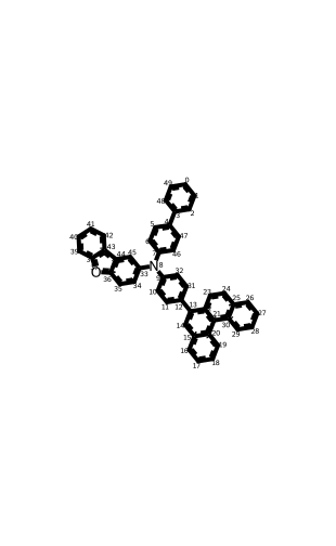 c1ccc(-c2ccc(N(c3ccc(-c4cc5ccccc5c5c4ccc4ccccc45)cc3)c3ccc4oc5ccccc5c4c3)cc2)cc1